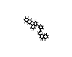 c1ccc2cc3c(cc2c1)-c1cccc2c(-c4cc(-c5ccc6ccc7cccnc7c6n5)ccn4)ccc-3c12